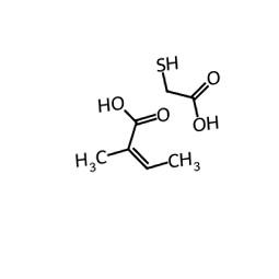 CC=C(C)C(=O)O.O=C(O)CS